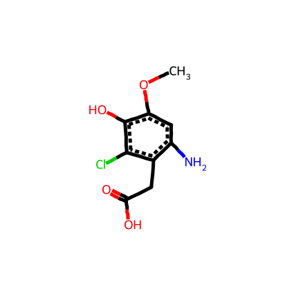 COc1cc(N)c(CC(=O)O)c(Cl)c1O